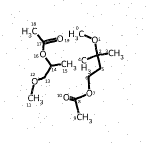 COC(C)(C)CCOC(C)=O.COCC(C)OC(C)=O